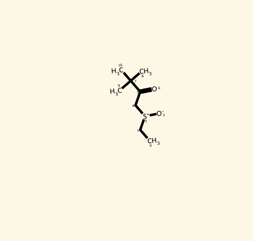 CC[S+]([O-])CC(=O)C(C)(C)C